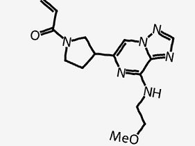 C=CC(=O)N1CCC(c2cn3ncnc3c(NCCOC)n2)C1